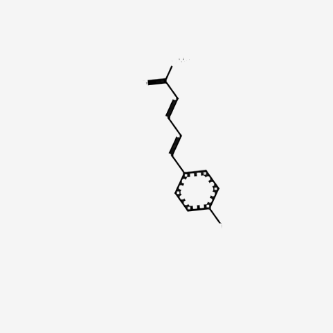 COC(=O)C=CC=Cc1ccc(I)cc1